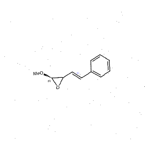 CO[C@@H]1OC1/C=C/c1ccccc1